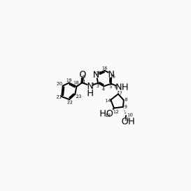 O=C(Nc1cc(N[C@@H]2C[C@H](CO)[C@@H](O)C2)ncn1)c1ccccc1